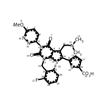 COc1ccc(-n2c(=O)c3c(CN(C)C)c(-c4ccc(C(=O)O)s4)sc3n(Cc3c(F)cccc3F)c2=O)nn1